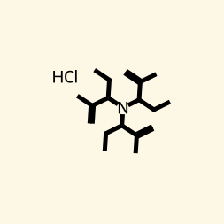 C=C(C)C(CC)N(C(CC)C(=C)C)C(CC)C(=C)C.Cl